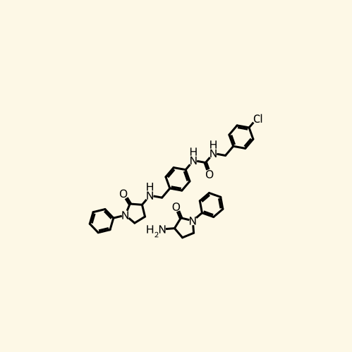 NC1CCN(c2ccccc2)C1=O.O=C(NCc1ccc(Cl)cc1)Nc1ccc(CNC2CCN(c3ccccc3)C2=O)cc1